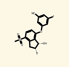 CS(=O)(=O)c1ccc(Oc2cc(F)cc(C#N)c2)c2c1[CH][C@@H](F)[C@H]2O